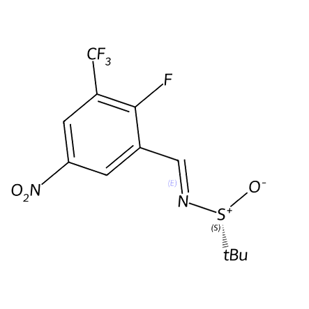 CC(C)(C)[S@@+]([O-])/N=C/c1cc([N+](=O)[O-])cc(C(F)(F)F)c1F